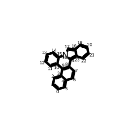 c1ccc2c(c1)ccc1c2c2ccccc2n2cc3ccccc3c12